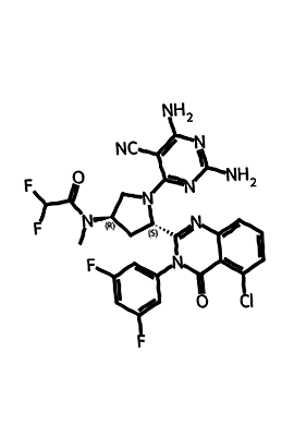 CN(C(=O)C(F)F)[C@@H]1C[C@@H](c2nc3cccc(Cl)c3c(=O)n2-c2cc(F)cc(F)c2)N(c2nc(N)nc(N)c2C#N)C1